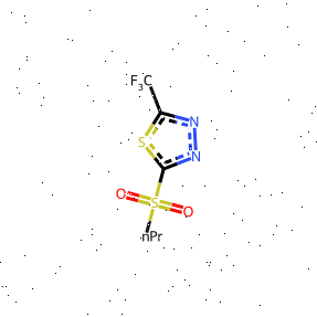 CCCS(=O)(=O)c1nnc(C(F)(F)F)s1